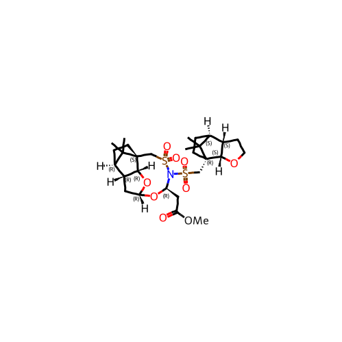 COC(=O)C[C@H]1O[C@@H]2C[C@@H]3[C@H]4CC[C@@](CS(=O)(=O)N1S(=O)(=O)C[C@@]15CC[C@@H]([C@@H]6CCO[C@@H]61)C5(C)C)([C@@H]3O2)C4(C)C